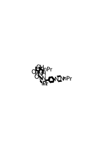 CCC[C@@H]1CN(C(=O)[C@H](CC(C)C)NC(=O)c2ccc(N3CCN(CCC)CC3)cc2)[C@@H]2C(=O)CO[C@H]12